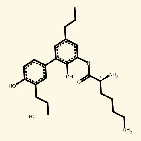 CCCc1cc(NC(=O)[C@@H](N)CCCCN)c(O)c(-c2ccc(O)c(CCC)c2)c1.Cl